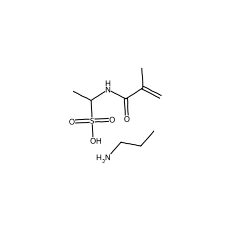 C=C(C)C(=O)NC(C)S(=O)(=O)O.CCCN